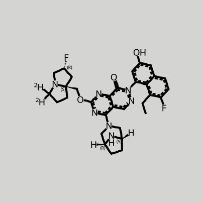 [2H]C1([2H])CC[C@@]2(COc3nc(N4C[C@H]5CC[C@@H](C4)N5)c4cnn(-c5cc(O)cc6ccc(F)c(CC)c56)c(=O)c4n3)C[C@@H](F)CN12